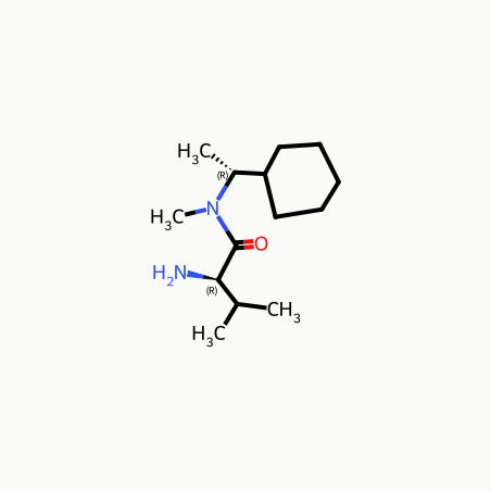 CC(C)[C@@H](N)C(=O)N(C)[C@H](C)C1CCCCC1